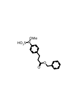 CON(c1ccc(CCC(=O)OCc2ccccc2)cc1)S(=O)(=O)O